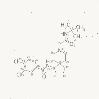 CC(C)(C)NC(=O)CN1CCC2(CCCC2NC(=O)c2ccc(Cl)c(Cl)c2)CC1